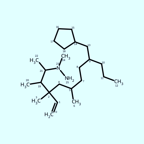 C=CC(C)(CC(C)CCC(CCC)CC1CCCC1)C(C)C(C)N(C)N